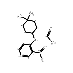 CC1(C)CCC(Oc2ccncc2[N+](=O)[O-])CC1.NC=O